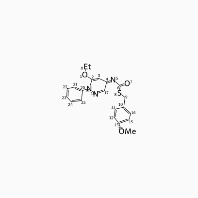 CCOc1cc(=NC(=O)SCc2ccc(OC)cc2)cnn1-c1ccccc1